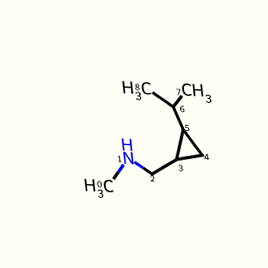 CNCC1CC1C(C)C